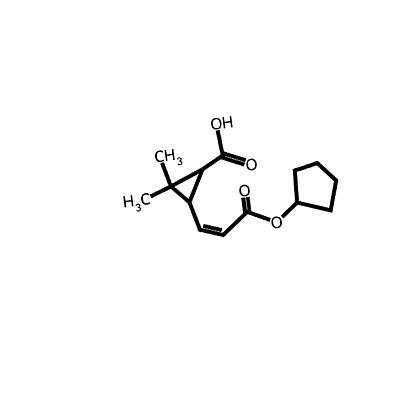 CC1(C)C(/C=C\C(=O)OC2CCCC2)C1C(=O)O